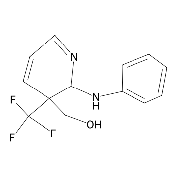 OCC1(C(F)(F)F)C=CC=NC1Nc1ccccc1